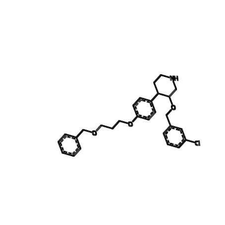 Clc1cccc(COC2CNCCC2c2ccc(OCCCOCc3ccccc3)cc2)c1